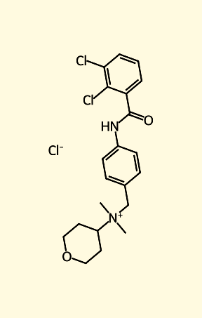 C[N+](C)(Cc1ccc(NC(=O)c2cccc(Cl)c2Cl)cc1)C1CCOCC1.[Cl-]